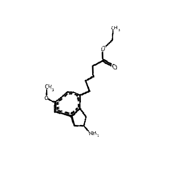 CCOC(=O)CCCCc1cc(OC)cc2c1CC(N)C2